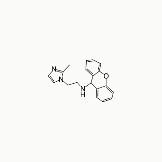 Cc1nccn1CCNC1c2ccccc2Oc2ccccc21